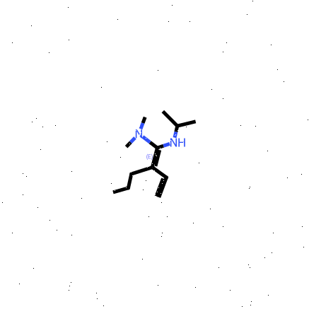 C=C/C(CCC)=C(\NC(C)C)N(C)C